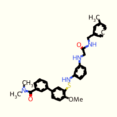 COc1ccc(-c2cccc(C(=O)N(C)C)c2)cc1SNc1cccc(NCC(=O)NCc2cccc(C)c2)c1